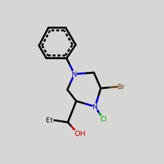 CCC(O)C1CN(c2ccccc2)CC(Br)N1Cl